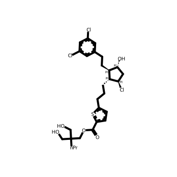 CCCC(CO)(CO)COC(=O)c1ccc(CCC[C@@H]2[C@@H](CCc3cc(Cl)cc(Cl)c3)[C@H](O)C[C@H]2Cl)s1